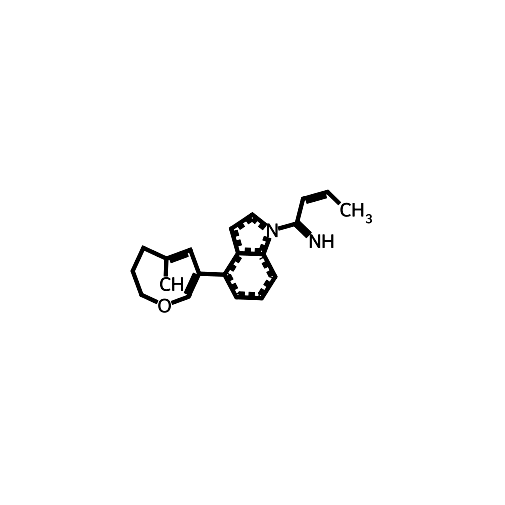 C/C=C\C(=N)n1ccc2c(C3=C/OCCC\C(C)=C\3)cccc21